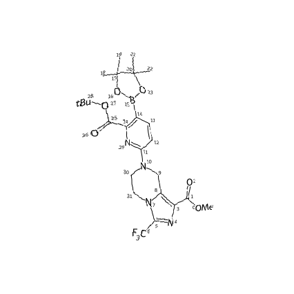 COC(=O)c1nc(C(F)(F)F)n2c1CN(c1ccc(B3OC(C)(C)C(C)(C)O3)c(C(=O)OC(C)(C)C)n1)CC2